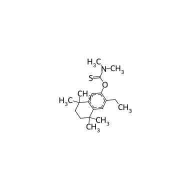 CCc1cc2c(cc1OC(=S)N(C)C)C(C)(C)CCC2(C)C